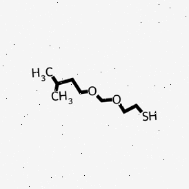 CC(C)CCOCOCCS